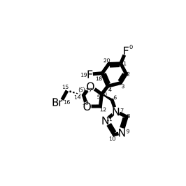 Fc1ccc([C@]2(Cn3cncn3)CO[C@H](CBr)O2)c(F)c1